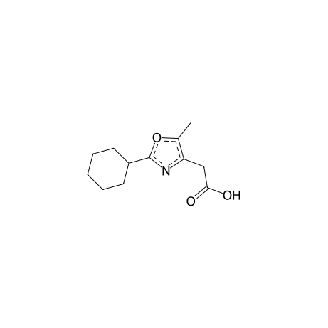 Cc1oc(C2CCCCC2)nc1CC(=O)O